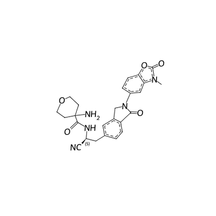 Cn1c(=O)oc2ccc(N3Cc4cc(C[C@@H](C#N)NC(=O)C5(N)CCOCC5)ccc4C3=O)cc21